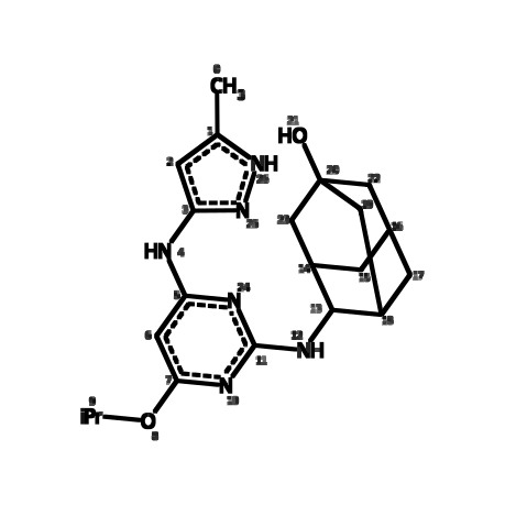 Cc1cc(Nc2cc(OC(C)C)nc(NC3C4CC5CC3CC(O)(C5)C4)n2)n[nH]1